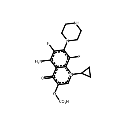 Nc1c(F)c(N2CCNCC2)c(F)c2c1c(=O)c(OC(=O)O)cn2C1CC1